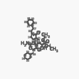 CCOP(=O)(OCC)C(O)[C@H](CC1CCN(CCc2ccccc2)C1=O)NC(=O)[C@H](CC1CCCCC1)OC(N)=O